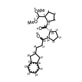 COC(OC)C1CCCN1C(=O)[C@@H]1CCCN1C(=O)CCC1Cc2ccccc2C1